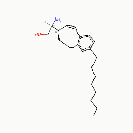 CCCCCCCCc1ccc2c(c1)CC[C@@H]([C@](C)(N)CO)C=C2